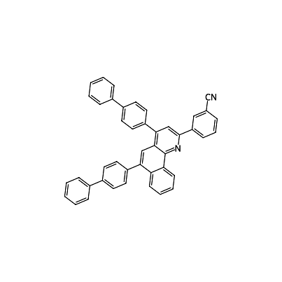 N#Cc1cccc(-c2cc(-c3ccc(-c4ccccc4)cc3)c3cc(-c4ccc(-c5ccccc5)cc4)c4ccccc4c3n2)c1